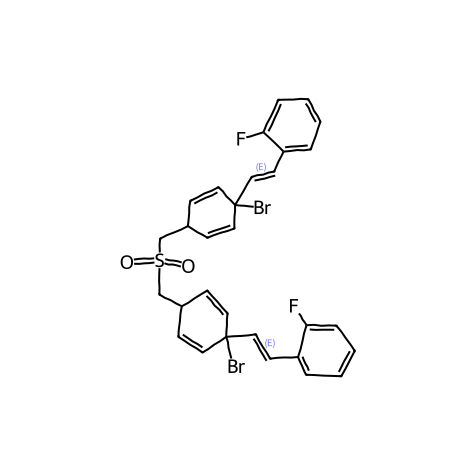 O=S(=O)(CC1C=CC(Br)(/C=C/c2ccccc2F)C=C1)CC1C=CC(Br)(/C=C/c2ccccc2F)C=C1